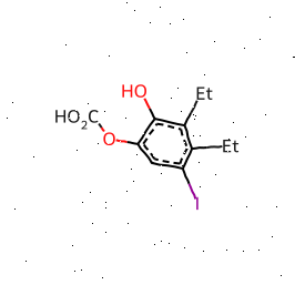 CCc1c(I)cc(OC(=O)O)c(O)c1CC